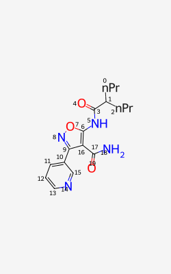 CCCC(CCC)C(=O)Nc1onc(-c2cccnc2)c1C(N)=O